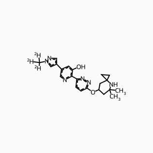 [2H]C([2H])([2H])n1cc(-c2cnc(-c3ccc(OC4CC(C)(C)NC5(CC5)C4)nn3)c(O)c2)cn1